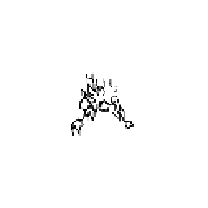 CC(=O)Nc1nc2c(s1)-c1c(c(-c3cccnc3)nn1-c1ccc(C(=O)N3CCN(C4CCCC4)CC3)cc1)CC2